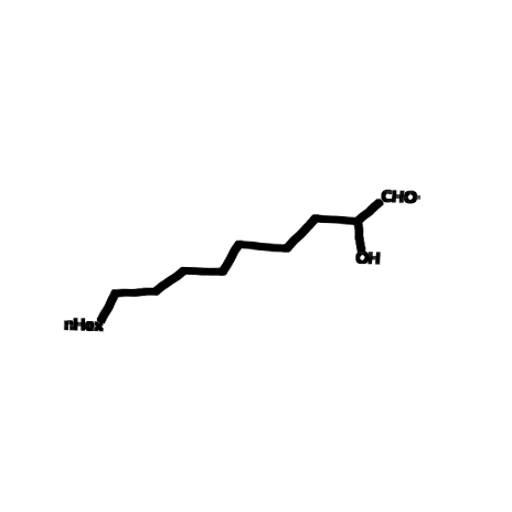 CCCCCCCCCCCCCC(O)[C]=O